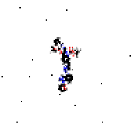 CC(C)(C)OC(=O)N(Cc1cc2ccc(Cc3cn(-c4cccc5c4cnn5C4CCCCO4)nn3)cc2n1C(=O)OC(C)(C)C)CC1CCC1